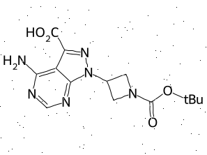 CC(C)(C)OC(=O)N1CC(n2nc(C(=O)O)c3c(N)ncnc32)C1